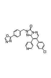 O=c1n(Cc2ccc(-c3nnco3)cc2)nc2c(-c3ccncc3)c(-c3ccc(Cl)cc3)cnn12